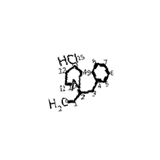 C=CC(Cc1ccccc1)N1CCCC1.Cl